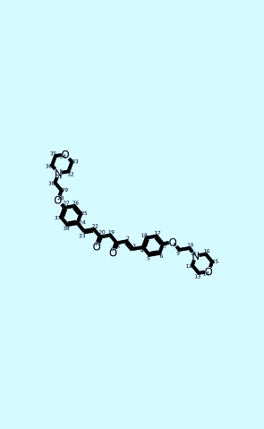 O=C(/C=C/c1ccc(OCCN2CCOCC2)cc1)CC(=O)/C=C/c1ccc(OCCN2CCOCC2)cc1